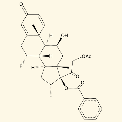 CC(=O)OCC(=O)[C@]1(OC(=O)c2ccccc2)[C@H](C)C[C@H]2[C@H]3[C@H]([C@@H](O)C[C@@]21C)[C@@]1(C)C=CC(=O)C=C1C[C@H]3F